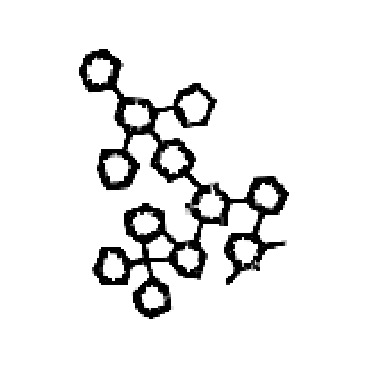 Cc1ccc(-c2ccccc2-c2nc(-c3ccc(-c4c(C5=CCCC=C5)cc(-c5ccccc5)cc4-c4ccccc4)cc3)nc(-c3cccc4c3-c3ccccc3C4(c3ccccc3)c3ccccc3)n2)c(C)n1